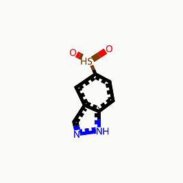 O=[SH](=O)c1ccc2[nH]ncc2c1